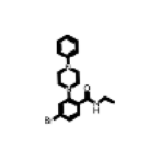 CCNC(=O)c1ccc(Br)cc1N1CCN(c2ccccc2)CC1